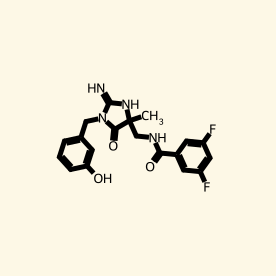 CC1(CNC(=O)c2cc(F)cc(F)c2)NC(=N)N(Cc2cccc(O)c2)C1=O